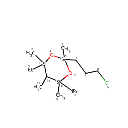 CC[Si]1(C)O[Si](C)(CCCCl)O[Si](C)(C(C)C)C1C